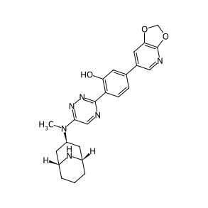 CN(c1cnc(-c2ccc(-c3cnc4c(c3)OCO4)cc2O)nn1)[C@@H]1C[C@H]2CCC[C@@H](C1)N2